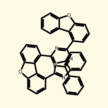 c1ccc(-c2nc(-c3cccc4oc5ccccc5c34)nc(-c3cccc4oc5cccc(-c6nc7ccccc7s6)c5c34)n2)cc1